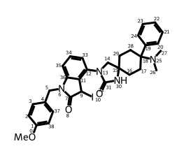 COc1ccc(CN2C(=O)C(I)c3c(N4CC5(CCC(c6ccccc6)(N(C)C)CC5)NC4=O)cccc32)cc1